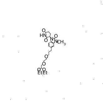 CCOC(COCCOCCCc1ccc2c(c1)n(C)c(=O)n2C1CCC(=O)NC1=O)OCC